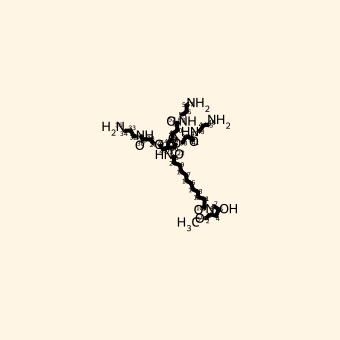 COCC1CC(O)CN1C(=O)CCCCCCCCCCC(=O)NC(COCCC(=O)NCCCN)(COCCC(=O)NCCCN)COCCC(=O)NCCCN